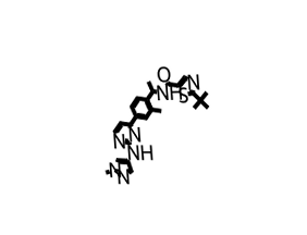 Cc1cc(-c2ccnc(Nc3cnn(C)c3)n2)ccc1C(C)NC(=O)c1cnc(C(C)(C)C)s1